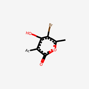 CC(=O)c1c(O)c(Br)c(C)oc1=O